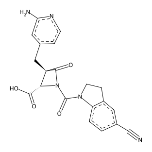 N#Cc1ccc2c(c1)CCN2C(=O)N1C(=O)[C@H](Cc2ccnc(N)c2)[C@H]1C(=O)O